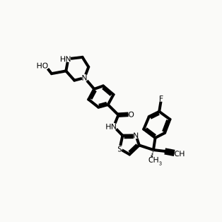 C#C[C@](C)(c1ccc(F)cc1)c1csc(NC(=O)c2ccc(N3CCNC(CO)C3)cc2)n1